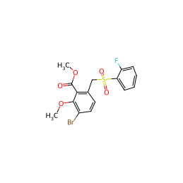 COC(=O)c1c(CS(=O)(=O)c2ccccc2F)ccc(Br)c1OC